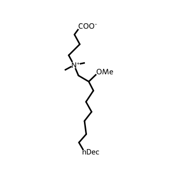 CCCCCCCCCCCCCCCCC(C[N+](C)(C)CCCC(=O)[O-])OC